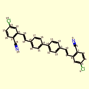 N#Cc1ccc(Cl)cc1/C=C/c1ccc(-c2ccc(/C=C/c3cc(Cl)ccc3C#N)cc2)cc1